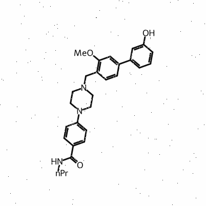 CCCNC(=O)c1ccc(N2CCN(Cc3ccc(-c4cccc(O)c4)cc3OC)CC2)cc1